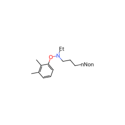 CCCCCCCCCCCCN(CC)Oc1cccc(C)c1C